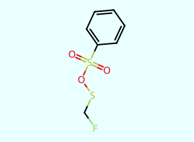 O=S(=O)(OSCF)c1ccccc1